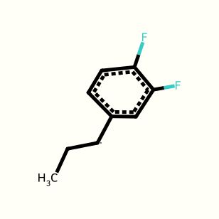 CC[CH]c1ccc(F)c(F)c1